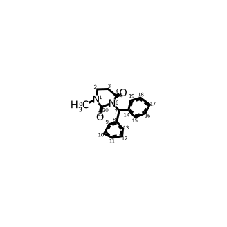 CN1CCC(=O)N(C(c2ccccc2)c2ccccc2)C1=O